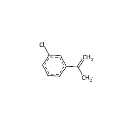 [CH2]C(=C)c1cccc(Cl)c1